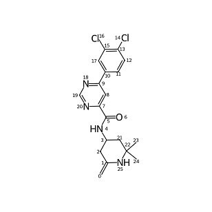 C=C1CC(NC(=O)c2cc(-c3ccc(Cl)c(Cl)c3)ncn2)CC(C)(C)N1